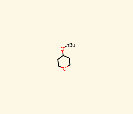 CCCCO[C]1CCOCC1